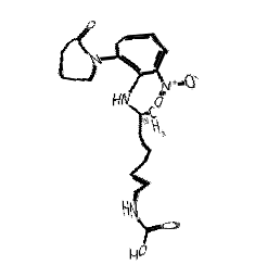 C[C@@H](CCCCNC(=O)O)Nc1c(N2CCCC2=O)cccc1[N+](=O)[O-]